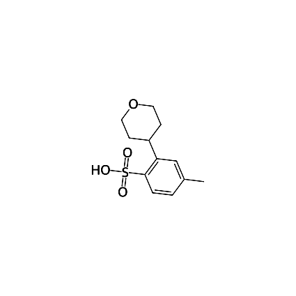 Cc1ccc(S(=O)(=O)O)c(C2CCOCC2)c1